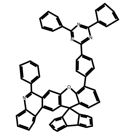 c1ccc(-c2nc(-c3ccccc3)nc(-c3ccc(-c4cccc5c4Oc4cc6c(-c7ccccc7)nc7ccccc7c6cc4C54c5ccccc5-c5ccccc54)cc3)n2)cc1